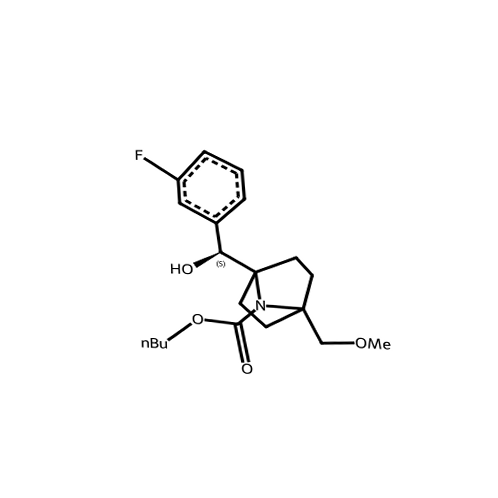 CCCCOC(=O)N1C2(COC)CCC1([C@@H](O)c1cccc(F)c1)CC2